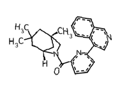 CC1(C)C[C@@H]2C[C@@](C)(CN2C(=O)c2cccc(-c3cncc4ccccc34)n2)C1